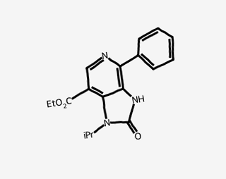 CCOC(=O)c1cnc(-c2ccccc2)c2[nH]c(=O)n(C(C)C)c12